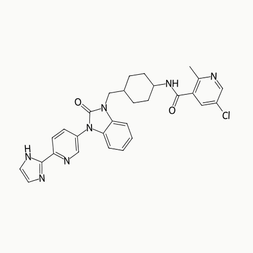 Cc1ncc(Cl)cc1C(=O)NC1CCC(Cn2c(=O)n(-c3ccc(-c4ncc[nH]4)nc3)c3ccccc32)CC1